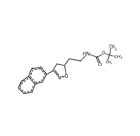 CC(C)(C)OC(=O)NCCC1CC(c2ccc3ccccc3c2)=NO1